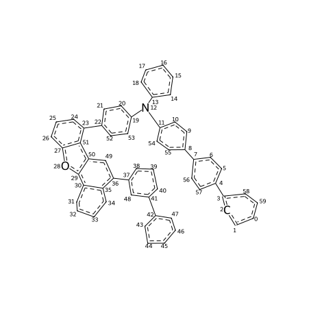 c1ccc(-c2ccc(-c3ccc(N(c4ccccc4)c4ccc(-c5cccc6oc7c8ccccc8c(-c8cccc(-c9ccccc9)c8)cc7c56)cc4)cc3)cc2)cc1